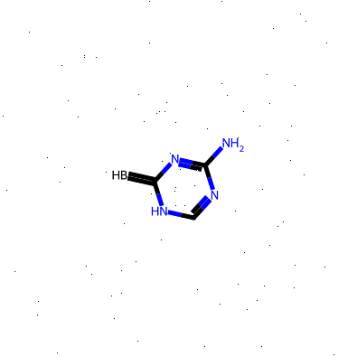 B=C1N=C(N)N=CN1